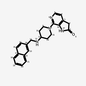 O=C1Cc2ccnc(N3CCC(NCc4ccc5ccccc5c4)CC3)c2N1